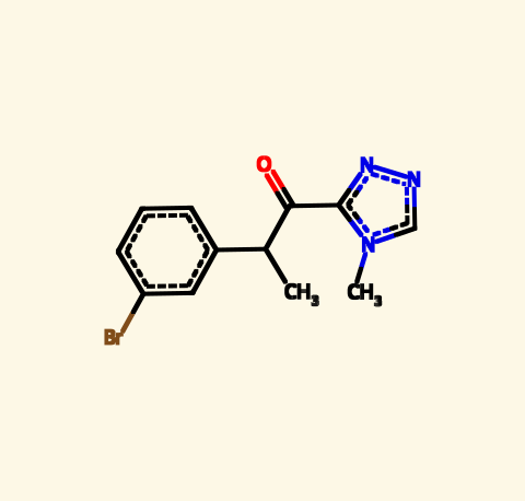 CC(C(=O)c1nncn1C)c1cccc(Br)c1